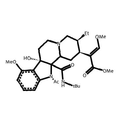 CC[C@@H]1CN2CC[C@]3(O)c4c(OC)cccc4N(C(C)=O)C3(C(=O)NC(C)(C)C)C2C[C@@H]1/C(=C\OC)C(=O)OC